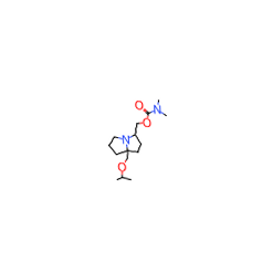 CC(C)OCC12CCCN1C(COC(=O)N(C)C)CC2